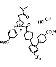 COc1ccc([C@@H]2CN(CC(=O)N(C)C)C[C@@]2(F)C(=O)N2CCC(c3ccc(C(F)(F)F)cc3N3CCC(C(=O)O)CC3)CC2)cc1.Cl.Cl